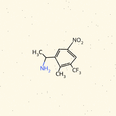 Cc1c(C(C)N)cc([N+](=O)[O-])cc1C(F)(F)F